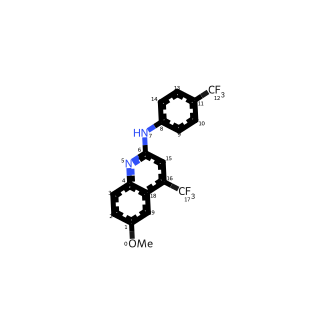 COc1ccc2nc(Nc3ccc(C(F)(F)F)cc3)cc(C(F)(F)F)c2c1